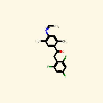 C/C=N\c1cc(C)c(C(=O)Cc2c(F)cc(F)cc2F)cc1C